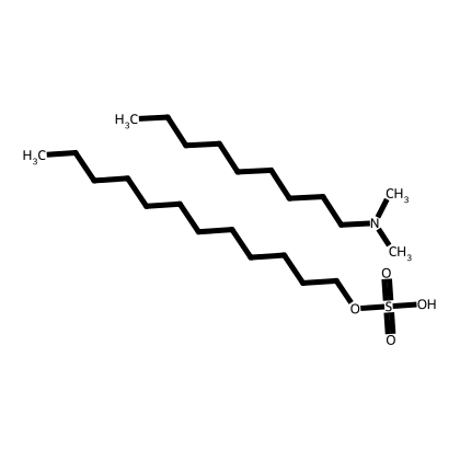 CCCCCCCCCCCCOS(=O)(=O)O.CCCCCCCCCN(C)C